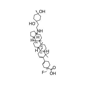 CC1(C)C(C2=CC[C@](CF)(C(=O)O)CC2)=CC[C@]2(C)[C@H]3CC[C@@H]4[C@H]5CCC[C@]5(NCC[C@]5(O)CC[C@@](C)(O)CC5)CC[C@@]4(C)[C@]3(C)CC[C@@H]12